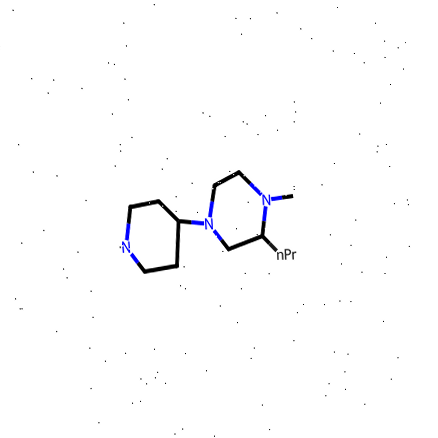 CCCC1CN(C2CC[N]CC2)CCN1C